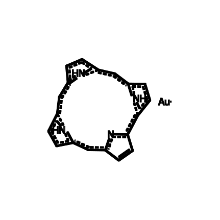 C1=Cc2nc1cc1ccc(cc3ccc(cc4ccc2[nH]4)[nH]3)[nH]1.[Au]